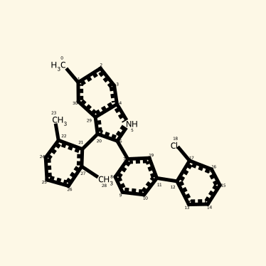 Cc1ccc2[nH]c(-c3cccc(-c4ccccc4Cl)c3)c(-c3c(C)cccc3C)c2c1